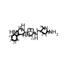 Cc1nc(N)ccc1CNC(=O)[C@H](C)NC(=O)[C@H]1Cc2c([nH]c3ccccc23)CN1